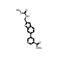 COC(=O)c1cncc(-c2ccc3cc(CNC(=O)OC(C)(C)C)sc3c2)c1